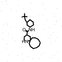 CC(C)(C)CC1CCCC(NC(=O)C2CCNC3(CCCCCCCCC3)C2)C1